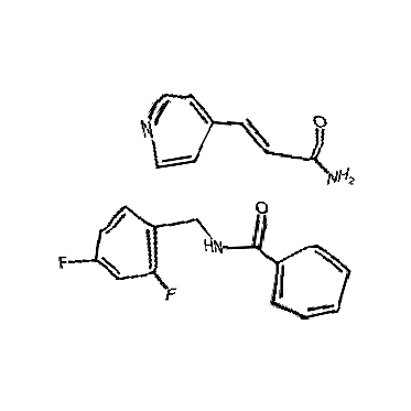 NC(=O)/C=C/c1ccncc1.O=C(NCc1ccc(F)cc1F)c1ccccc1